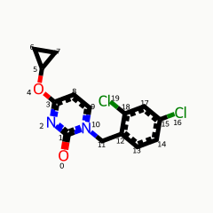 O=c1nc(OC2CC2)ccn1Cc1ccc(Cl)cc1Cl